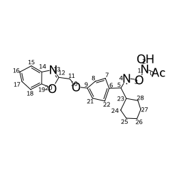 CC(=O)N(O)O[N]C(c1ccc(OCc2nc3ccccc3o2)cc1)C1CCCCC1